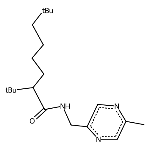 Cc1cnc(CNC(=O)C(CCCCC(C)(C)C)C(C)(C)C)cn1